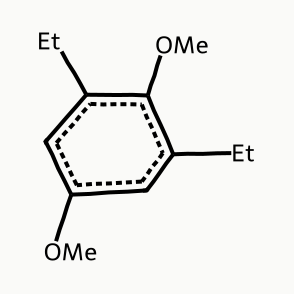 CCc1cc(OC)cc(CC)c1OC